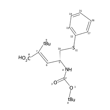 CC(C)(C)OC(=O)N[C@H](C=C(C(=O)O)C(C)(C)C)CSc1ccccc1